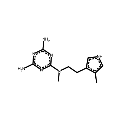 Cc1c[nH]cc1CCN(C)c1nc(N)nc(N)n1